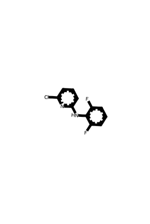 Fc1cccc(F)c1Nc1cccc(Cl)n1